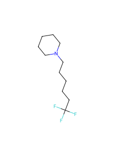 FC(F)(F)CCCCCN1CCCCC1